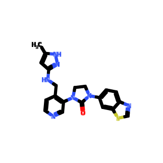 Cc1cc(NCc2ccncc2N2CCN(c3ccc4ncsc4c3)C2=O)n[nH]1